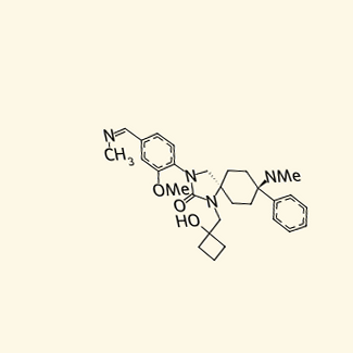 C/N=C\c1ccc(N2C[C@]3(CC[C@@](NC)(c4ccccc4)CC3)N(CC3(O)CCC3)C2=O)c(OC)c1